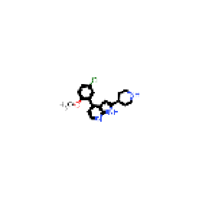 COc1ccc(Cl)cc1-c1ccnc2[nH]c(C3CCNCC3)cc12